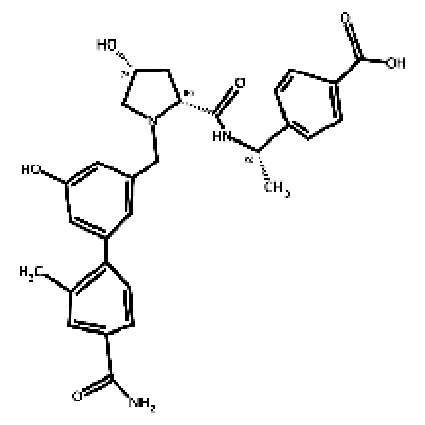 Cc1cc(C(N)=O)ccc1-c1cc(O)cc(CN2C[C@H](O)C[C@@H]2C(=O)N[C@@H](C)c2ccc(C(=O)O)cc2)c1